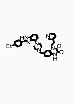 CCc1ccc(-c2nc3c(N4CCN(Cc5ccc6[nH]c(=O)c(=O)n(CCc7cccnc7)c6c5)CC4)cccc3[nH]2)cc1